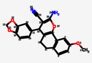 COc1ccc2c(c1)C1=C(CC2)C(c2ccc3c(c2)OCO3)C(C#N)=C(N)O1